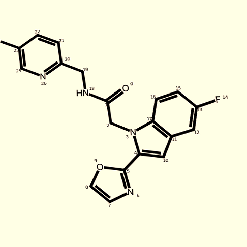 O=C(Cn1c(-c2ncco2)cc2cc(F)ccc21)NCc1ccc(Br)cn1